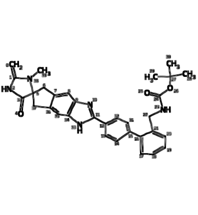 C=C1NC(=O)C2(Cc3cc4nc(-c5ccc(-c6ccccc6CNC(=O)OC(C)(C)C)cc5)[nH]c4cc3C2)N1C